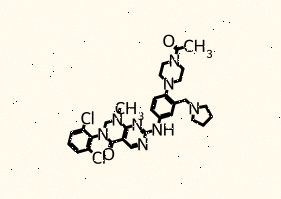 CC(=O)N1CCN(c2ccc(Nc3ncc4c(n3)N(C)CN(c3c(Cl)cccc3Cl)C4=O)cc2CN2CCCC2)CC1